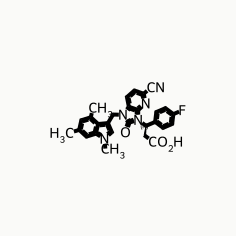 Cc1cc(C)c2c(Cn3c(=O)n([C@H](CC(=O)O)c4ccc(F)cc4)c4nc(C#N)ccc43)cn(C)c2c1